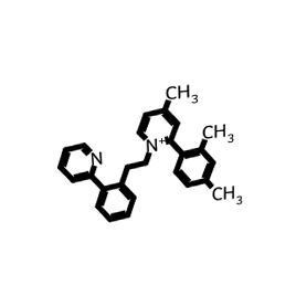 Cc1ccc(-c2cc(C)cc[n+]2CCc2ccccc2-c2ccccn2)c(C)c1